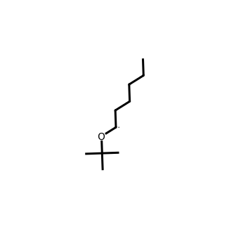 CCCCC[CH]OC(C)(C)C